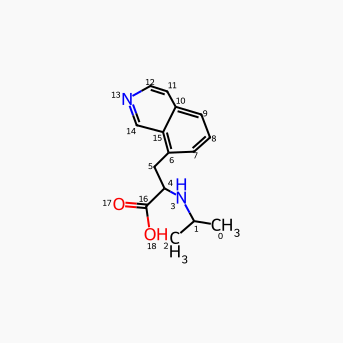 CC(C)NC(Cc1cccc2ccncc12)C(=O)O